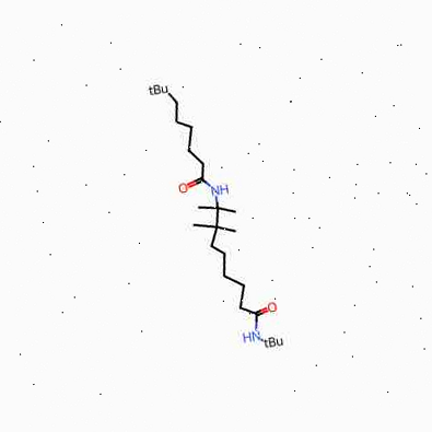 CC(C)(C)CCCCCC(=O)NC(C)(C)C(C)(C)CCCCCC(=O)NC(C)(C)C